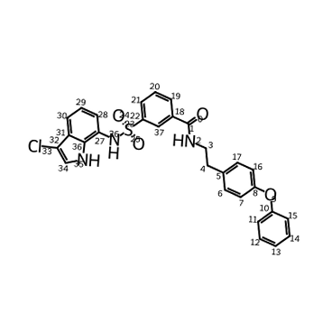 O=C(NCCc1ccc(Oc2ccccc2)cc1)c1cccc(S(=O)(=O)Nc2cccc3c(Cl)c[nH]c23)c1